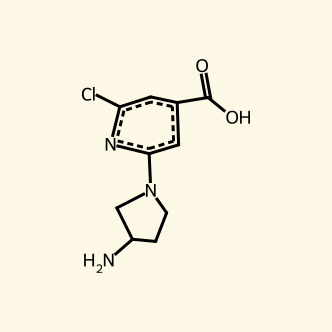 NC1CCN(c2cc(C(=O)O)cc(Cl)n2)C1